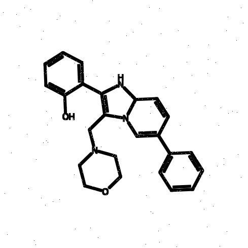 Oc1ccccc1C1=C(CN2CCOCC2)N2C=C(c3ccccc3)C=CC2N1